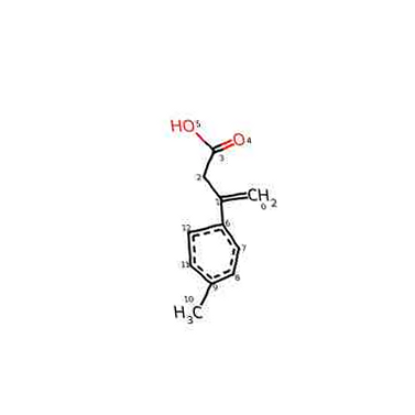 C=C(CC(=O)O)c1ccc(C)cc1